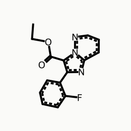 CCOC(=O)c1c(-c2ccccc2F)nc2cccnn12